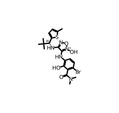 Cc1ccc([C@H](Nc2no[n+](O)c2Nc2ccc(Br)c(C(=O)N(C)C)c2O)C(C)(C)C)s1